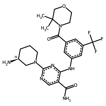 CC1(C)COCCN1C(=O)c1cc(Nc2nc(N3CCC[C@H](N)C3)ncc2C(N)=O)cc(C(F)(F)F)c1